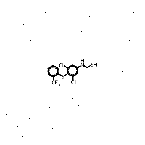 FC(F)(F)c1ccccc1Sc1c(Cl)cc(NCS)cc1Cl